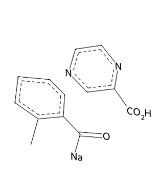 Cc1ccccc1[C](=O)[Na].O=C(O)c1cnccn1